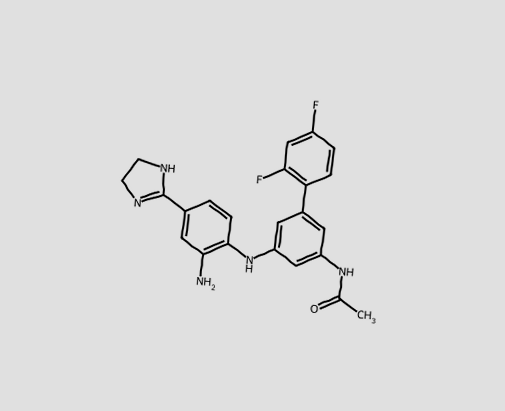 CC(=O)Nc1cc(Nc2ccc(C3=NCCN3)cc2N)cc(-c2ccc(F)cc2F)c1